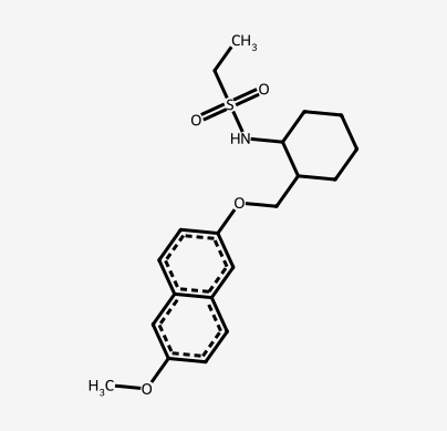 CCS(=O)(=O)NC1CCCCC1COc1ccc2cc(OC)ccc2c1